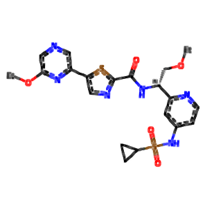 CCOC[C@@H](NC(=O)c1ncc(-c2cncc(OCC)n2)s1)c1cc(NS(=O)(=O)C2CC2)ccn1